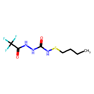 CCCCSNC(=O)NNC(=O)C(F)(F)F